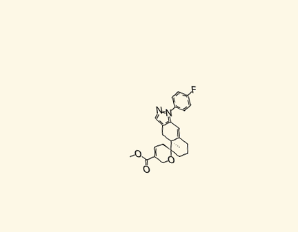 COC(=O)C1=CC[C@@]2(CCCC3=Cc4c(cnn4-c4ccc(F)cc4)C[C@@]32C)OC1